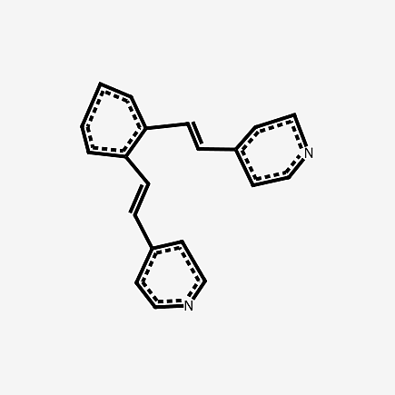 C(=Cc1ccccc1C=Cc1ccncc1)c1ccncc1